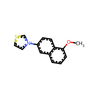 COc1cccc2cc(-[n+]3ccsc3)ccc12